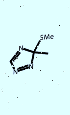 CSC1(C)N=CN=N1